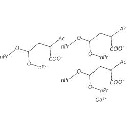 CCCOC(CC(C(C)=O)C(=O)[O-])OCCC.CCCOC(CC(C(C)=O)C(=O)[O-])OCCC.CCCOC(CC(C(C)=O)C(=O)[O-])OCCC.[Ga+3]